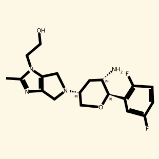 Cc1nc2c(n1CCO)CN([C@H]1CO[C@H](c3cc(F)ccc3F)[C@@H](N)C1)C2